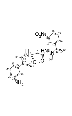 CN(NC(=O)CC(=O)NN(C)C(=S)c1cccc([N+](=O)[O-])c1)C(=S)c1cccc(N)c1